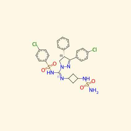 NS(=O)(=O)NC1CC(/N=C(/NS(=O)(=O)c2ccc(Cl)cc2)N2C[C@H](c3ccccc3)C(c3ccc(Cl)cc3)=N2)C1